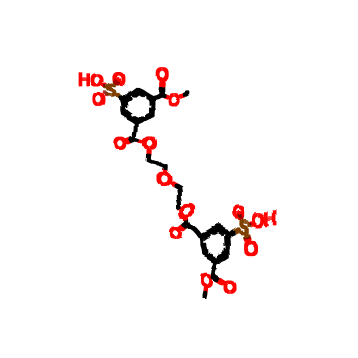 COC(=O)c1cc(C(=O)OCCOCCOC(=O)c2cc(C(=O)OC)cc(S(=O)(=O)O)c2)cc(S(=O)(=O)O)c1